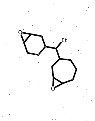 CCC(C1CCCC2OC2C1)C1CCC2OC2C1